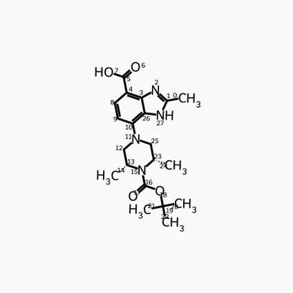 Cc1nc2c(C(=O)O)ccc(N3C[C@@H](C)N(C(=O)OC(C)(C)C)[C@@H](C)C3)c2[nH]1